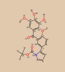 COc1ccc(-c2cccn2C(=O)OC(C)(C)C)cc1C(=O)c1cc(OC)c(OC)c(OC)c1